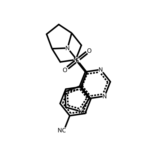 N#Cc1ccc(CS(=O)(=O)N2C3CCC2CN(c2ncnc4[nH]ccc24)C3)cc1